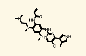 C=CC(=O)Nc1cc(Nc2ncc(Cl)c(-c3c[nH]cc3C)n2)c(OC)cc1N(C)CCN(C)C